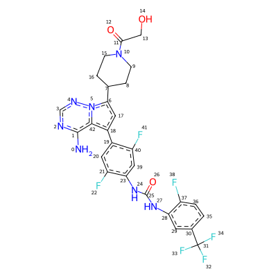 Nc1ncnn2c(C3CCN(C(=O)CO)CC3)cc(-c3cc(F)c(NC(=O)Nc4cc(C(F)(F)F)ccc4F)cc3F)c12